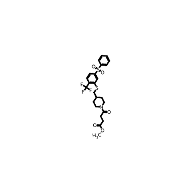 COC(=O)CCC(=O)N1CCC(CSc2cc(S(=O)(=O)c3ccccc3)ccc2C(F)(F)F)CC1